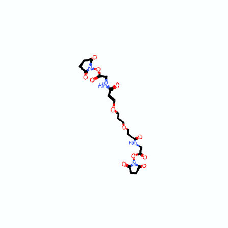 O=C(CCOCCCOCCC(=O)NCC(=O)ON1C(=O)CCC1=O)NCC(=O)ON1C(=O)CCC1=O